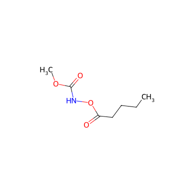 CCCCC(=O)ONC(=O)OC